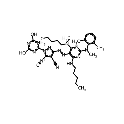 [C-]#[N+]c1c(C#N)c(N=Nc2c(NCCCCC)nc(N(C)c3c(C)cccc3C)nc2N(C)CCCCC)nn1-c1nc(O)nc(O)n1